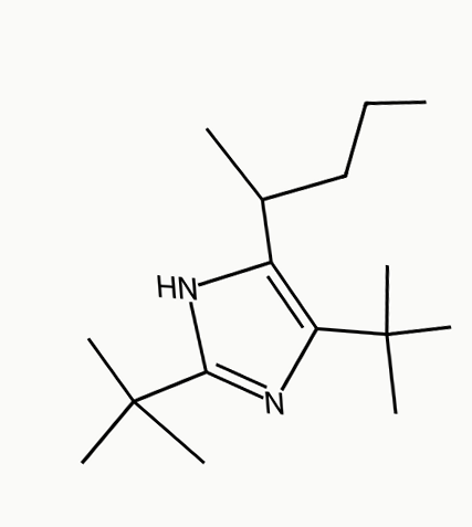 CCCC(C)c1[nH]c(C(C)(C)C)nc1C(C)(C)C